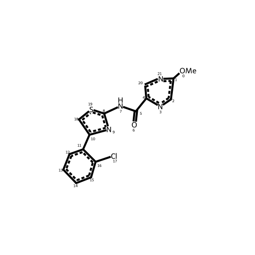 COc1cnc(C(=O)Nc2nc(-c3ccccc3Cl)cs2)cn1